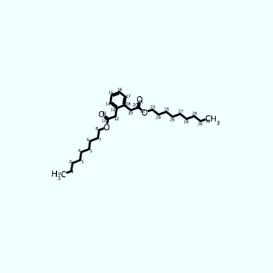 CCCCCCCCCOC(=O)Cc1ccccc1CC(=O)OCCCCCCCCC